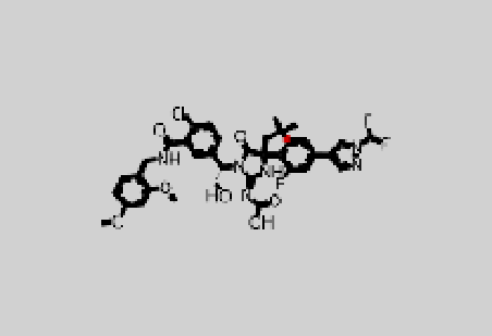 COc1ccc(CNC(=O)c2cc([C@@H](CO)N3C(=O)C(CC(C)(C)C)(c4ccc(-c5cnn(C(F)F)c5)cc4F)NC3=NC(=O)O)ccc2Cl)c(OC)c1